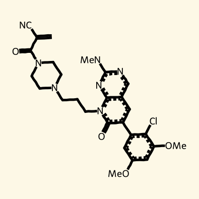 C=C(C#N)C(=O)N1CCN(CCCn2c(=O)c(-c3cc(OC)cc(OC)c3Cl)cc3cnc(NC)nc32)CC1